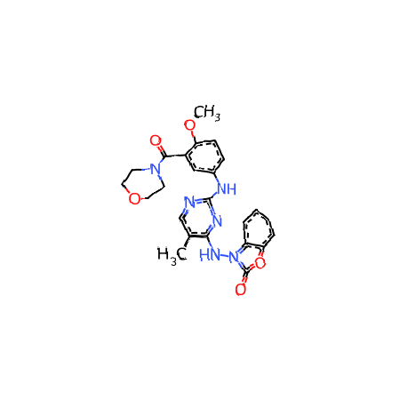 COc1ccc(Nc2ncc(C)c(Nn3c(=O)oc4ccccc43)n2)cc1C(=O)N1CCOCC1